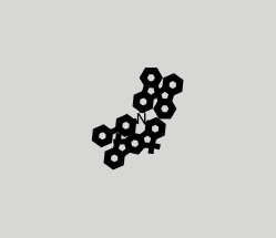 CC1(C)c2ccccc2-c2cc3c(cc21)-c1c(N(c2ccc(-c4ccccc4)cc2)c2ccc4c(c2)C2(c5ccccc5-c5ccccc52)c2ccccc2-4)cccc1C3(C)C